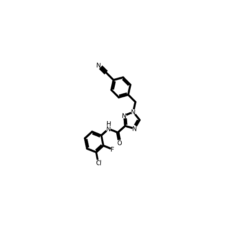 N#Cc1ccc(Cn2cnc(C(=O)Nc3cccc(Cl)c3F)n2)cc1